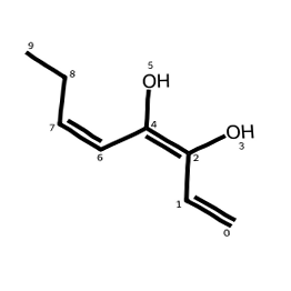 C=C/C(O)=C(O)\C=C/CC